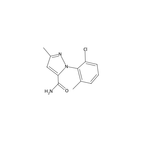 Cc1cc(C(N)=O)n(-c2c(C)cccc2Cl)n1